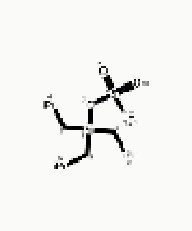 CC(C)C[Si](CC(C)C)(CC(C)C)OS(=O)(=O)C(F)(F)F